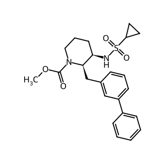 COC(=O)N1CCC[C@@H](NS(=O)(=O)C2CC2)[C@H]1Cc1cccc(-c2ccccc2)c1